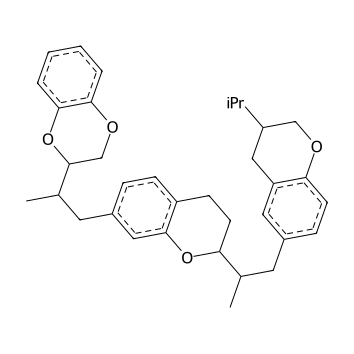 CC(C)C1COc2ccc(CC(C)C3CCc4ccc(CC(C)C5COc6ccccc6O5)cc4O3)cc2C1